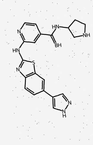 B=C(NC1CCNC1)c1ccnc(Nc2nc3ccc(-c4cn[nH]c4)cc3s2)c1